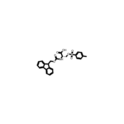 Cc1ccc(S(=O)(=O)OC[C@H](NC(=O)OCC2c3ccccc3-c3ccccc32)C(=O)O)cc1